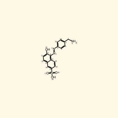 NCc1ccc(N=Nc2c(O)ccc3cc(S(=O)(=O)O)ccc23)cc1